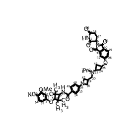 COc1cc(OC2C(C)(C)C(NC(=O)c3ccc(N4CC(CN(C(C)C)C5CC(Oc6ccc7c(c6)C(=O)N([C@@H]6CCC(=O)NC6=O)C7=O)C5)C4)cc3)C2(C)C)ccc1C#N